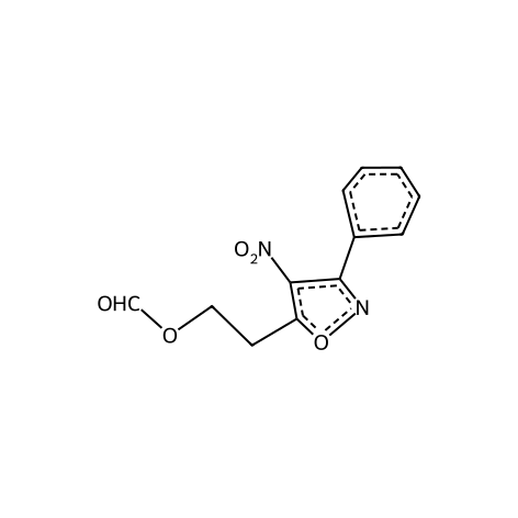 O=COCCc1onc(-c2ccccc2)c1[N+](=O)[O-]